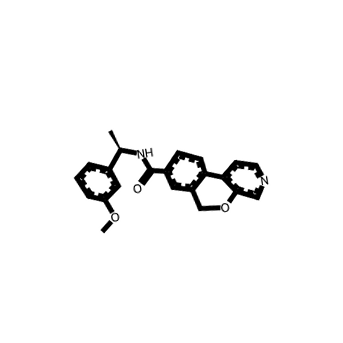 COc1cccc([C@@H](C)NC(=O)c2ccc3c(c2)COc2cnccc2-3)c1